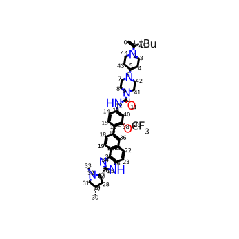 C=C(N1CCC(N2CCN(C(=O)Nc3ccc(-c4ccc5c(ccc6[nH]c([C@@H]7C[C@H](C)CN7C)nc65)c4)c(OC(F)(F)F)c3)CC2)CC1)C(C)(C)C